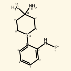 CC(C)Nc1ccccc1N1CCC(C)(N)CC1